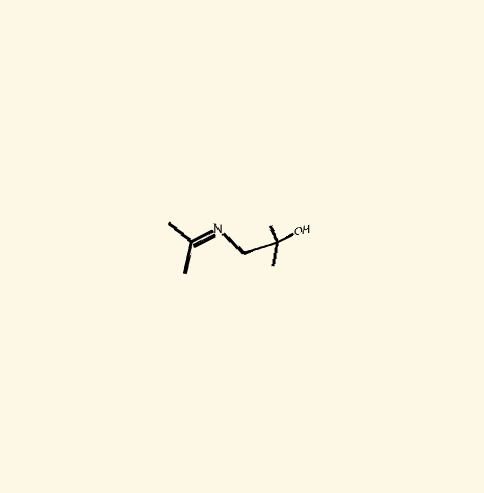 CC(C)=NCC(C)(C)O